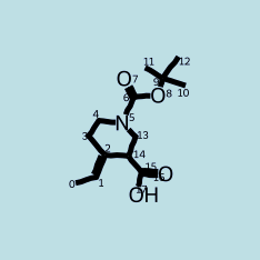 CC=C1CCN(C(=O)OC(C)(C)C)CC1C(=O)O